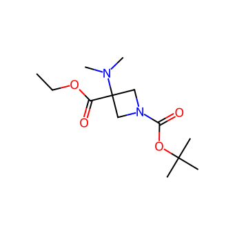 CCOC(=O)C1(N(C)C)CN(C(=O)OC(C)(C)C)C1